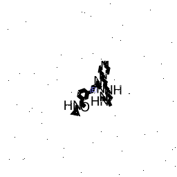 CC1CC(Nc2cc(N3CCN(C)CC3)nc(/C=C/c3cccc(C(=O)NC4CC4)c3)n2)=NN1